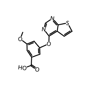 COc1cc(Oc2ncnc3sccc23)cc(C(=O)O)c1